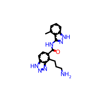 Cc1cccc2[nH]nc(NC(=O)c3ccc4[nH]nnc4c3CCCN)c12